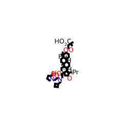 CC(C)C1=C2[C@H]3CC[C@@H]4[C@@]5(C)CC[C@H](OC(=O)CC(C)(C)C(=O)O)C(C)(C)[C@H]5CC[C@@]4(C)[C@]3(C)CC[C@@]2([C@@H](O)CN(CC2CCC2)C(=O)CN2CCCC2=O)CC1=O